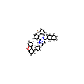 CC1=[N+](Cc2cccc(-c3cccc4oc5ccccc5c34)c2)C(c2cccc3sc4ccccc4c23)N=C(c2ccc3ccccc3c2)C1